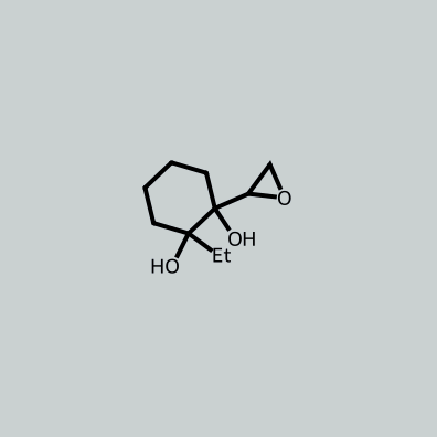 CCC1(O)CCCCC1(O)C1CO1